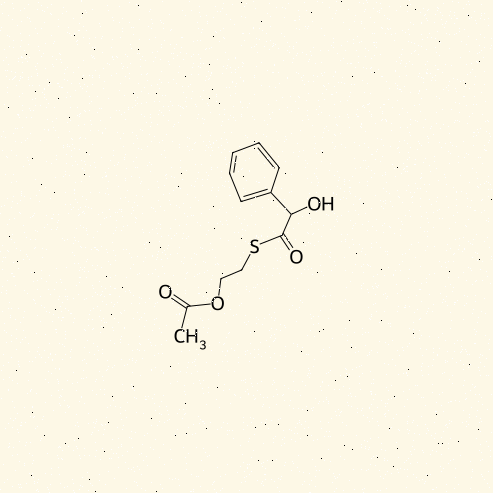 CC(=O)OCCSC(=O)C(O)c1ccccc1